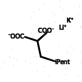 CCCC(C)CC(C(=O)[O-])C(=O)[O-].[K+].[Li+]